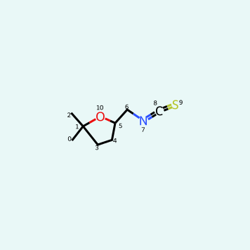 CC1(C)CCC(CN=C=S)O1